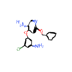 Nc1cc(Cl)cc(Oc2cc(OCc3ccccc3)ncc2N)c1